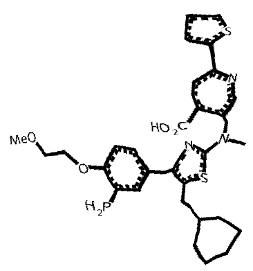 COCCOc1ccc(-c2nc(N(C)c3cnc(-c4cccs4)cc3C(=O)O)sc2CC2CCCCC2)cc1P